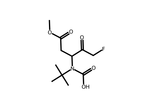 COC(=O)CC(C(=O)CF)N(C(=O)O)C(C)(C)C